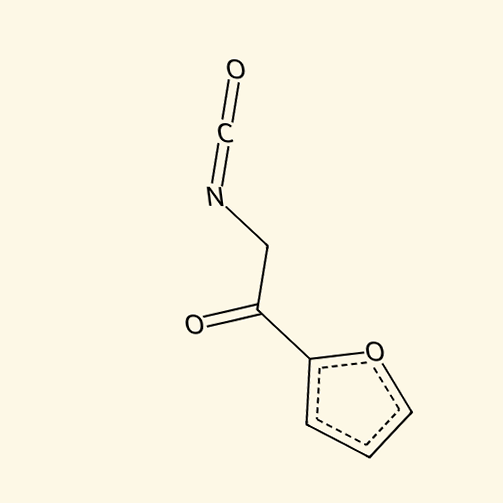 O=C=NCC(=O)c1ccco1